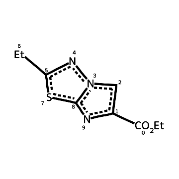 CCOC(=O)c1cn2nc(CC)sc2n1